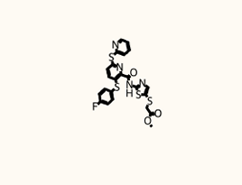 COC(=O)CSc1cnc(NC(=O)c2nc(Sc3ccccn3)ccc2Sc2ccc(F)cc2)s1